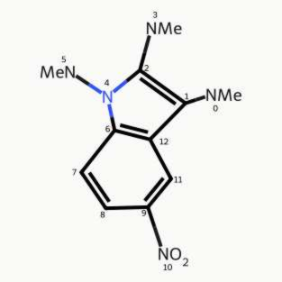 CNc1c(NC)n(NC)c2ccc([N+](=O)[O-])cc12